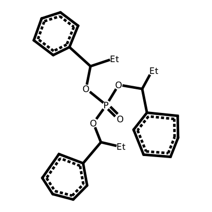 CCC(OP(=O)(OC(CC)c1ccccc1)OC(CC)c1ccccc1)c1ccccc1